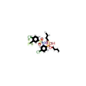 CCCCO[PH](O)(OCCCC)c1ccc(Cl)cc1NS(=O)(=O)c1ccc(Cl)c(C(F)(F)F)c1